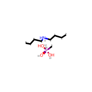 CCCCNCCCC.CP(=O)(O)O